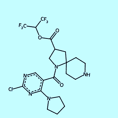 O=C(OC(C(F)(F)F)C(F)(F)F)C1CN(C(=O)c2cnc(Cl)nc2N2CCCC2)C2(CCNCC2)C1